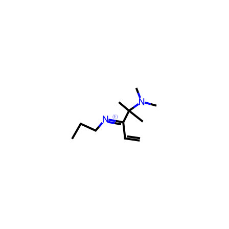 C=C/C(=N\CCC)C(C)(C)N(C)C